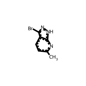 Cc1ccc2c(Br)n[nH]c2n1